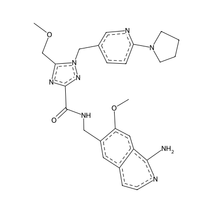 COCc1nc(C(=O)NCc2cc3ccnc(N)c3cc2OC)nn1Cc1ccc(N2CCCC2)nc1